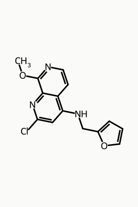 COc1nccc2c(NCc3ccco3)cc(Cl)nc12